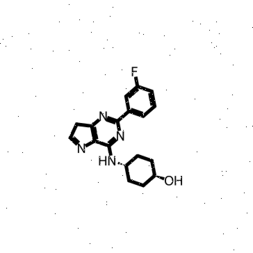 O[C@H]1CC[C@H](Nc2nc(-c3cccc(F)c3)nc3c2N=CC3)CC1